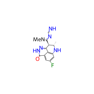 CN/C(=N\C=N)[C@@H]1c2n[nH]c(=O)c3cc(F)cc(c23)N[C@H]1C